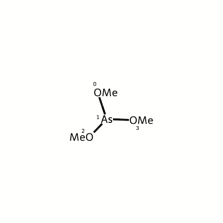 CO[As](OC)OC